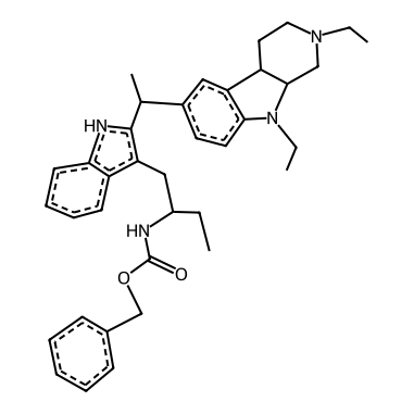 CCC(Cc1c(C(C)c2ccc3c(c2)C2CCN(CC)CC2N3CC)[nH]c2ccccc12)NC(=O)OCc1ccccc1